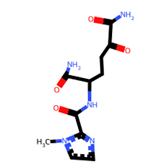 Cn1ccnc1C(=O)NC(CCC(=O)C(N)=O)C(N)=O